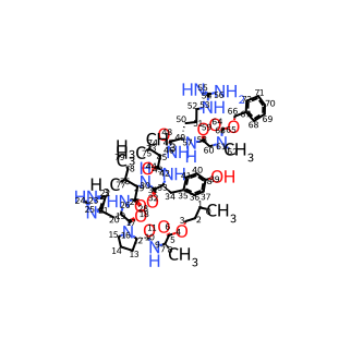 CCCCOC(=O)[C@@H](C)NC(=O)[C@@H]1CCCN1C(=O)[C@H](Cc1c[nH]cn1)NC(=O)[C@@H](NC(=O)[C@H](Cc1ccc(O)cc1)NC(=O)[C@@H](NC(=O)[C@H](CCCNC(=N)N)NC(=O)CN(C)C(=O)OCc1ccccc1)C(C)C)C(C)CC